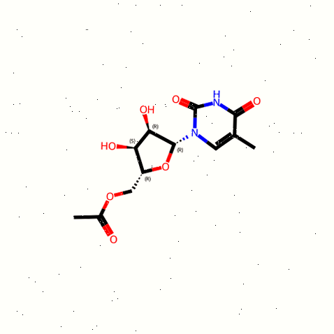 CC(=O)OC[C@H]1O[C@@H](n2cc(C)c(=O)[nH]c2=O)[C@H](O)[C@@H]1O